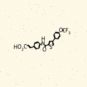 O=C(O)C=Cc1ccc(NC(=O)c2cc(-c3ccc(OC(F)(F)F)cc3)cs2)cc1